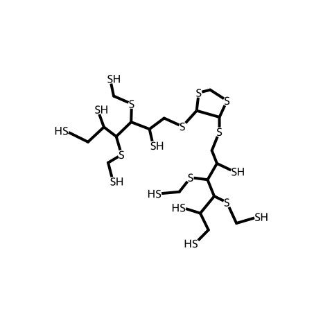 SCSC(C(S)CS)C(SCS)C(S)CSC1SCSC1SCC(S)C(SCS)C(SCS)C(S)CS